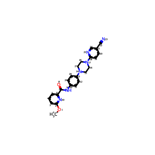 COc1cccc(C(=O)Nc2ccc(N3CCN(c4ccc(C#N)cn4)CC3)cc2)n1